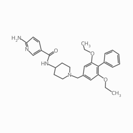 CCOc1cc(CN2CCC(NC(=O)c3ccc(N)nc3)CC2)cc(OCC)c1-c1ccccc1